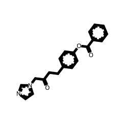 O=C(CCc1ccc(OC(=O)c2ccccc2)cc1)Cn1ccnc1